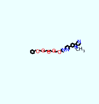 Cn1c2ccncc2c2ccc(-c3ccc(N4CC(OCCOCCOCCOCCOCc5ccccc5)C4)nc3)cc21